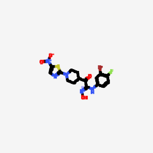 O=C(/C(=N/O)Nc1ccc(F)c(Br)c1)C1CCN(c2ncc([N+](=O)[O-])s2)CC1